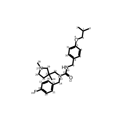 CC(C)COc1ccc(CNC(=O)N(Cc2ccc(F)cc2)CC2(C)CCN(C)C2)cc1